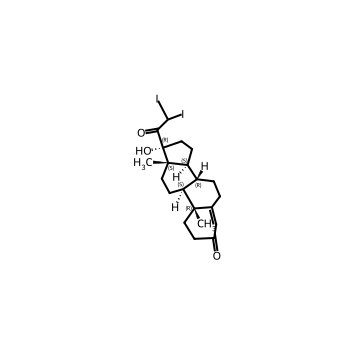 C[C@]12CCC(=O)C=C1CC[C@@H]1[C@@H]2CC[C@@]2(C)[C@H]1CC[C@]2(O)C(=O)C(I)I